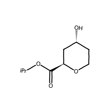 CC(C)OC(=O)[C@H]1C[C@H](O)CCO1